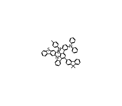 Cc1ccc(N2B3c4cc5sc6ccccc6c5cc4-n4c5ccccc5c5c(-c6ccc7c(c6)-c6ccccc6C7(C)C)cc(c3c54)-c3cc(N(c4ccccc4)c4ccccc4)ccc32)cc1